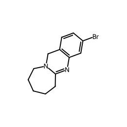 Brc1ccc2c(c1)N=C1CCCCCN1C2